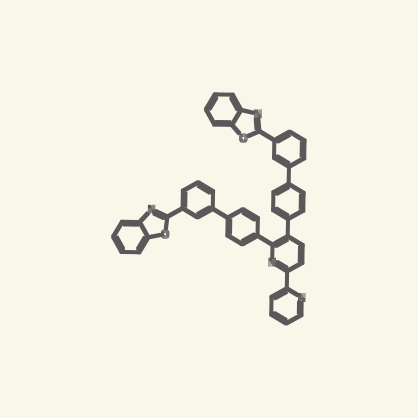 c1ccc(-c2ccc(-c3ccc(-c4cccc(-c5nc6ccccc6o5)c4)cc3)c(-c3ccc(-c4cccc(-c5nc6ccccc6o5)c4)cc3)n2)nc1